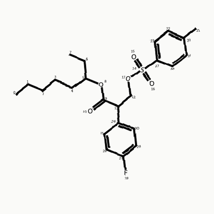 CCCCCC(CC)OC(=O)C(COS(=O)(=O)c1ccc(C)cc1)c1ccc(F)cc1